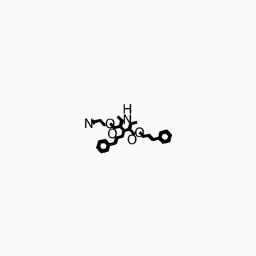 CC1=C(C(=O)OC/C=C/c2ccccc2)C(C/C=C/c2ccccc2)C(C(=O)OCCC#N)=C(C)N1